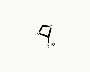 O=CC1OCO1